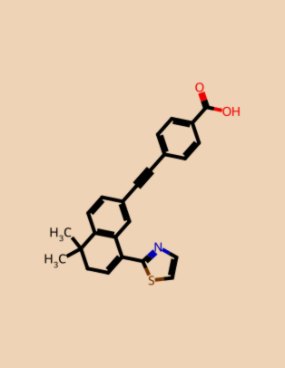 CC1(C)CC=C(c2nccs2)c2cc(C#Cc3ccc(C(=O)O)cc3)ccc21